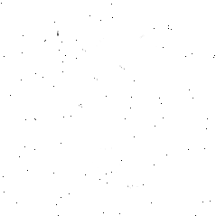 COc1ccc(CCC2CN(C3=Nc4ccccc4Cc4sc(C(C)C)nc43)CCN2)cc1